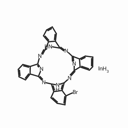 Brc1cccc2c3nc4nc(nc5[nH]c(nc6nc(nc([nH]3)c12)-c1ccccc1-6)c1ccccc51)-c1ccccc1-4.[InH3]